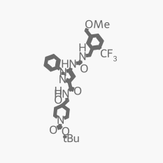 COCc1ccc(C(F)(F)F)c(CNC(=O)Nc2cc(C(=O)NCC3(O)CCN(C(=O)OC(C)(C)C)CC3)nn2-c2ccccc2)c1